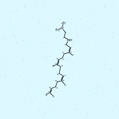 CCN(CC)CCNCC=C(C)CCC=C(C)CCC=C(C)CCC=C(C)C